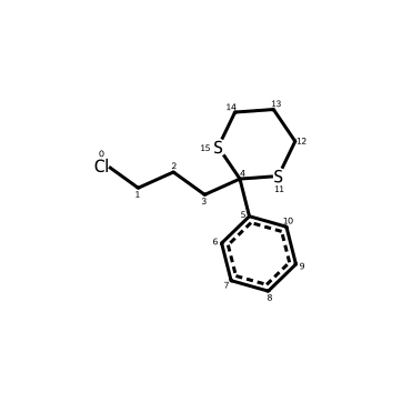 ClCCCC1(c2ccccc2)SCCCS1